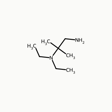 CCN(CC)C(C)(C)CN